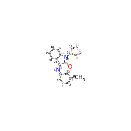 Cc1cccc(/N=C2\C(=O)N(c3ccsc3)c3ccccc32)c1